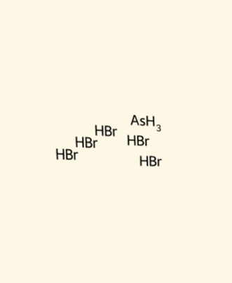 Br.Br.Br.Br.Br.[AsH3]